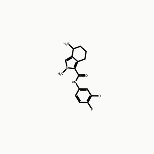 Cn1cc2c(c1C(=O)Nc1ccc(F)c(Cl)c1)CCCC2N